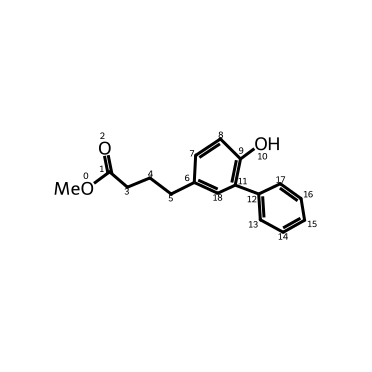 COC(=O)CCCc1ccc(O)c(-c2ccccc2)c1